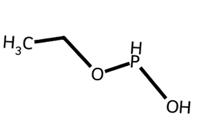 CCOPO